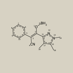 BOC(=C(C#N)c1ccccc1)c1nn(C)c(C)c1C